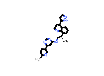 Cc1ccc(-c2cc(NC[C@@H](C)c3cccc4c(-c5ccn[nH]5)ccnc34)ncn2)cn1